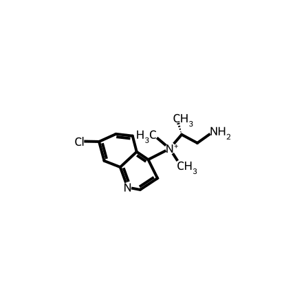 C[C@H](CN)[N+](C)(C)c1ccnc2cc(Cl)ccc12